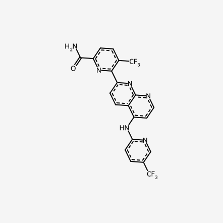 NC(=O)c1ccc(C(F)(F)F)c(-c2ccc3c(Nc4ccc(C(F)(F)F)cn4)ccnc3n2)n1